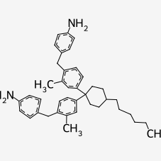 CCCCCCC1CCC(c2ccc(Cc3ccc(N)cc3)c(C)c2)(c2ccc(Cc3ccc(N)cc3)c(C)c2)CC1